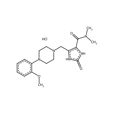 COc1ccccc1N1CCN(Cc2[nH]c(=O)[nH]c2C(=O)N(C)C)CC1.Cl